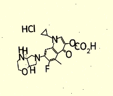 Cc1c(F)c(N2C[C@@H]3NCCO[C@@H]3C2)cc2c1c(=O)c(OC(=O)O)cn2C1CC1.Cl